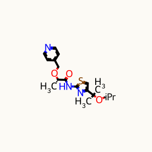 CC(C)OC(C)(C)c1csc(NC(=O)[C@H](C)OCc2ccncc2)n1